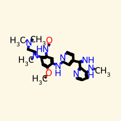 CNc1cccnc1C(=N)c1ccnc(Nc2cc(NC=O)c(N(C)CCN(C)C)cc2OC)c1